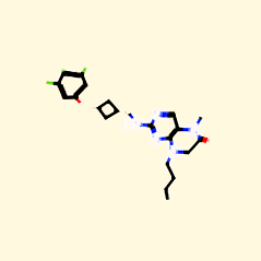 CCCCN1CC(=O)N(C)c2cnc(NC[C@H]3C[C@@H](Oc4cc(F)c(F)c(F)c4)C3)nc21